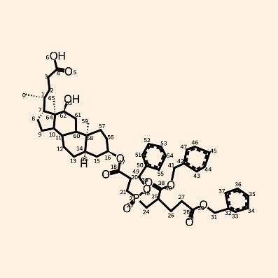 C[C@H](CCC(=O)O)[C@H]1CCC2C3CC[C@@H]4C[C@H](OC(=O)CCP(=O)(CC(CCC(=O)OCc5ccccc5)C(=O)OCc5ccccc5)OCc5ccccc5)CC[C@]4(C)C3C[C@H](O)[C@@]21C